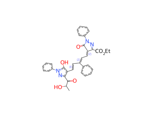 CCOC(=O)C1=NN(c2ccccc2)C(=O)\C1=C/C=C(/C=C/c1c(C(=O)C(C)O)nn(-c2ccccc2)c1O)c1ccccc1